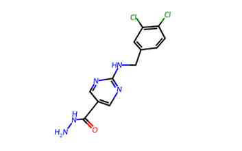 NNC(=O)c1cnc(NCc2ccc(Cl)c(Cl)c2)nc1